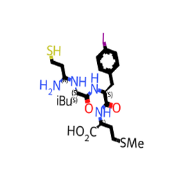 CC[C@H](C)[C@H](N[C@@H](N)CCS)C(=O)N[C@@H](Cc1ccc(I)cc1)C(=O)N[C@@H](CCSC)C(=O)O